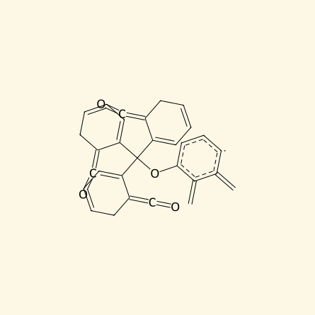 C=c1[c]ccc(OC(C2=CC=CCC2=C=O)(C2=CC=CCC2=C=O)C2=CC=CCC2=C=O)c1=C